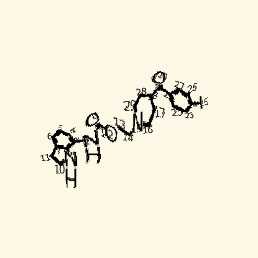 O=C(Nc1cccc2c1NCC2)OCCN1CCC(C(=O)c2ccc(I)cc2)CC1